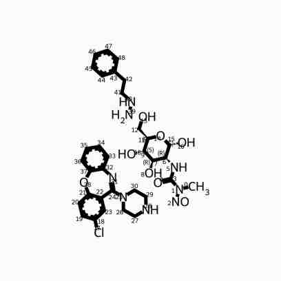 CN(N=O)C(=O)N[C@@H]1[C@@H](O)[C@H](O)[C@@H](CO)O[C@@H]1O.Clc1ccc2c(c1)C(N1CCNCC1)=Nc1ccccc1O2.NNCCc1ccccc1